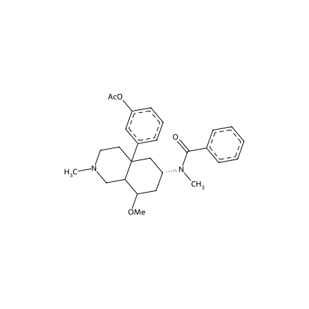 COC1C[C@@H](N(C)C(=O)c2ccccc2)CC2(c3cccc(OC(C)=O)c3)CCN(C)CC12